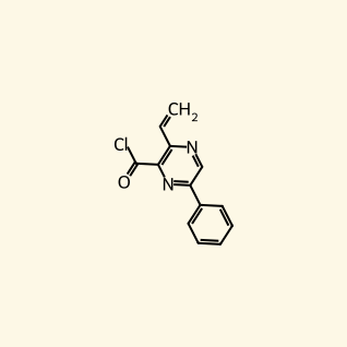 C=Cc1ncc(-c2ccccc2)nc1C(=O)Cl